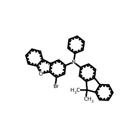 CC1(C)c2ccccc2-c2ccc(N(c3ccccc3)c3cc(Br)c4oc5ccccc5c4c3)cc21